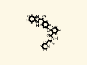 C[C@H](Cc1ccccn1)NC(=O)c1cccnc1Oc1ccc(C(=O)c2nc3ccccc3[nH]2)cc1